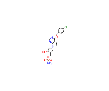 NS(=O)(=O)OCC1CC(n2ccc3c(OCc4ccc(Cl)cc4)ncnc32)CC1O